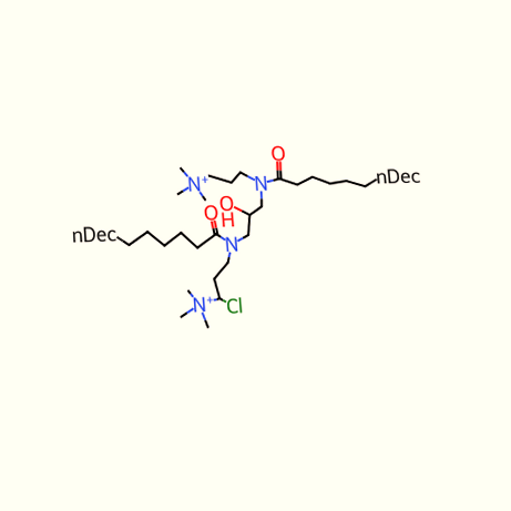 CCCCCCCCCCCCCCCC(=O)N(CCC[N+](C)(C)C)CC(O)CN(CCC(Cl)[N+](C)(C)C)C(=O)CCCCCCCCCCCCCCC